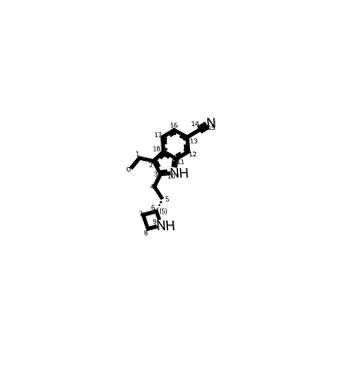 CCc1c(CC[C@H]2CCN2)[nH]c2cc(C#N)ccc12